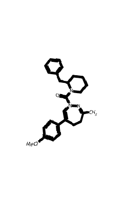 COc1ccc(C2=CN(C(=O)N3CCCCC3Cc3ccccc3)N=C(C)CC2)cc1